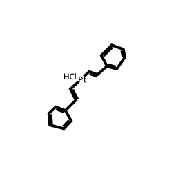 Cl.[CH](=Cc1ccccc1)[Pt][CH]=Cc1ccccc1